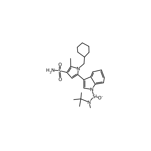 Cc1c(S(N)(=O)=O)cc(-c2cn([S+]([O-])N(C)C(C)(C)C)c3ccccc23)n1CC1CCCCC1